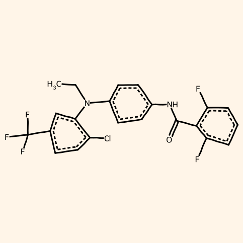 CCN(c1ccc(NC(=O)c2c(F)cccc2F)cc1)c1cc(C(F)(F)F)ccc1Cl